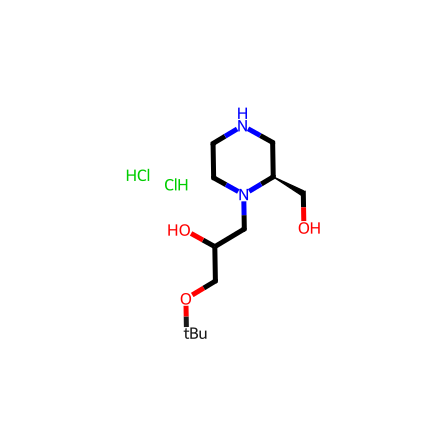 CC(C)(C)OCC(O)CN1CCNC[C@H]1CO.Cl.Cl